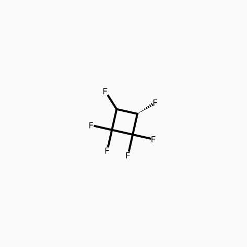 FC1[C@H](F)C(F)(F)C1(F)F